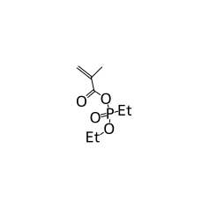 C=C(C)C(=O)OP(=O)(CC)OCC